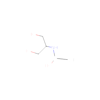 CB(O)NC(CO)CO